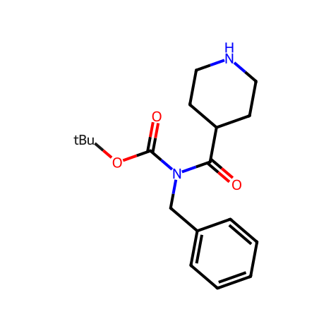 CC(C)(C)OC(=O)N(Cc1ccccc1)C(=O)C1CCNCC1